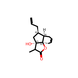 C=CC[C@@H]1C[C@]2(O)C(C)C(=O)O[C@@]23CC=CC[C@H]13